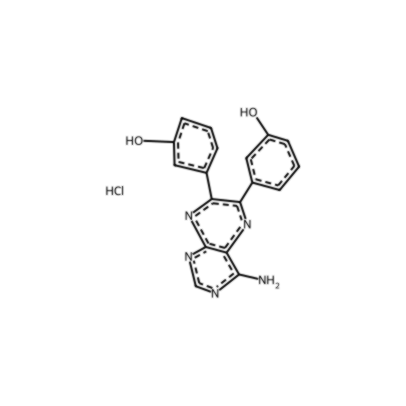 Cl.Nc1ncnc2nc(-c3cccc(O)c3)c(-c3cccc(O)c3)nc12